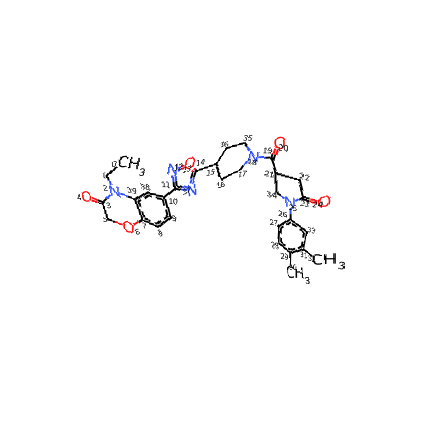 CCN1C(=O)COc2ccc(-c3noc(C4CCN(C(=O)C5CC(=O)N(c6ccc(C)c(C)c6)C5)CC4)n3)cc21